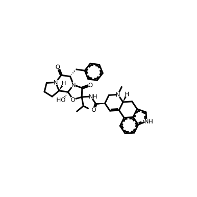 CC(C)C1(NC(=O)[C@@H]2C=C3c4cccc5[nH]cc(c45)C[C@H]3N(C)C2)O[C@@]2(O)[C@@H]3CCCN3C(=O)[C@H](Cc3ccccc3)N2C1=O